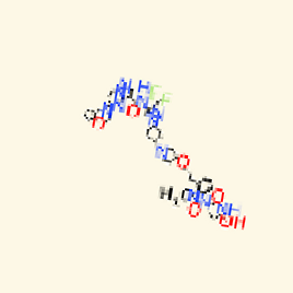 Cn1c(=O)n(C2CCC(O)NC2=O)c2cccc(CCCOC3CCN(C[C@H]4CC[C@H](n5cc(NC(=O)c6cnn7ccc(N8CCOC9(CCC9)C8)nc67)c(C(F)F)n5)CC4)CC3)c21